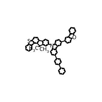 CC1(C)c2cc(-n3c4ccc(-c5ccc(-c6ccccc6)cc5)cc4c4cc(-c5ccc6oc7ccccc7c6c5)ccc43)ccc2-c2ccc3sc4ccccc4c3c21